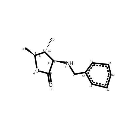 C[C@H]1[C@H](C)OC(=O)[C@@H]1NCc1ccccc1